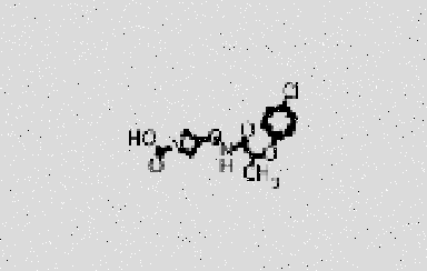 C[C@H](Oc1ccc(Cl)cc1)C(=O)NOC1CN(C(=O)O)C1